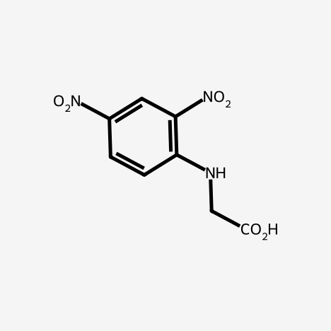 O=C(O)CNc1ccc([N+](=O)[O-])cc1[N+](=O)[O-]